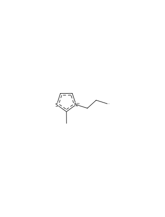 [CH2]CC[n+]1ccsc1C